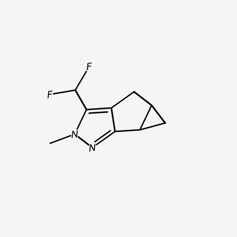 Cn1nc2c(c1C(F)F)CC1CC21